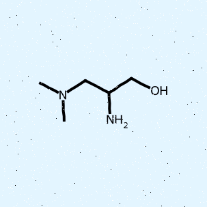 CN(C)CC(N)CO